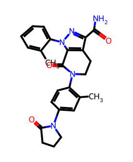 Cc1cc(N2CCCC2=O)ccc1N1CCc2c(C(N)=O)nn(-c3ccccc3C)c2C1=O